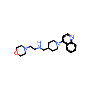 c1ccc2c(N3CCC(CNCCN4CCOCC4)CC3)ccnc2c1